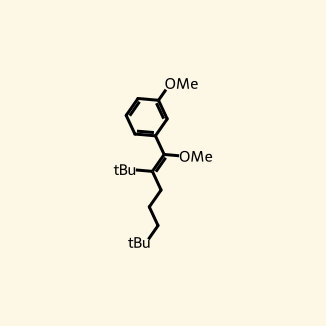 CO/C(=C(\CCCC(C)(C)C)C(C)(C)C)c1cccc(OC)c1